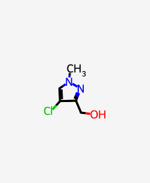 Cn1cc(Cl)c(CO)n1